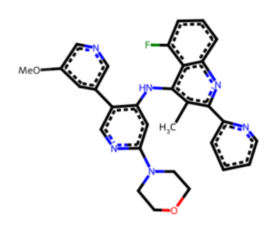 COc1cncc(-c2cnc(N3CCOCC3)cc2Nc2c(C)c(-c3ccccn3)nc3cccc(F)c23)c1